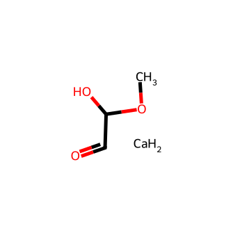 COC(O)C=O.[CaH2]